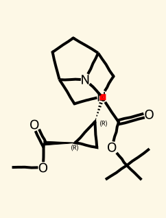 COC(=O)[C@@H]1C[C@H]1CN1C2CCC1CN(C(=O)OC(C)(C)C)C2